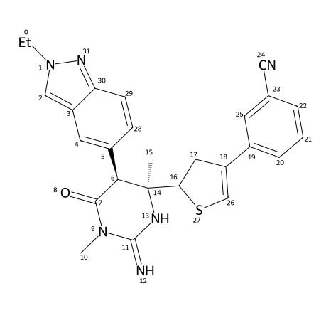 CCn1cc2cc([C@@H]3C(=O)N(C)C(=N)N[C@]3(C)C3CC(c4cccc(C#N)c4)=CS3)ccc2n1